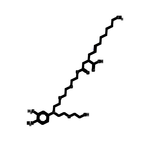 CCCCCCC/C=C/CC(CC(=O)OCCOCCOCCN(CCOCCO)c1ccc(N)c(C)c1)C(=O)O